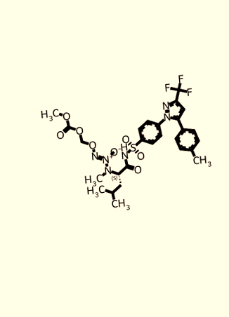 COC(=O)OCON=[N+]([O-])N(C)[C@@H](CC(C)C)C(=O)NS(=O)(=O)c1ccc(-n2nc(C(F)(F)F)cc2-c2ccc(C)cc2)cc1